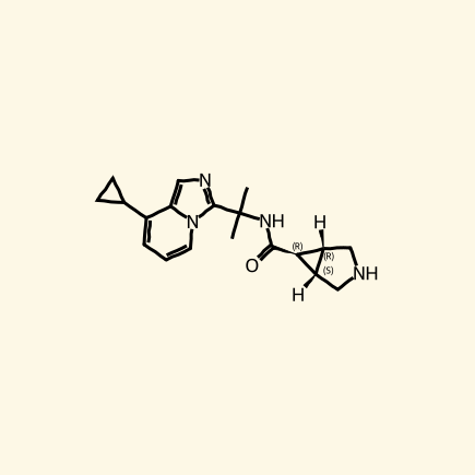 CC(C)(NC(=O)[C@H]1[C@@H]2CNC[C@@H]21)c1ncc2c(C3CC3)cccn12